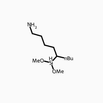 CCCCC(CCCCN)[SiH](OC)OC